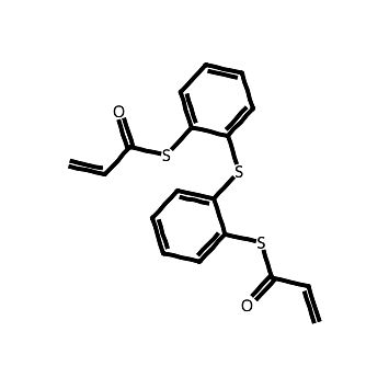 C=CC(=O)Sc1ccccc1Sc1ccccc1SC(=O)C=C